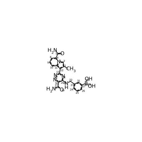 Cc1cn2c(C(N)=O)cccc2c1-c1nnc(C(N)=O)c(NCc2cccc(B(O)O)c2)n1